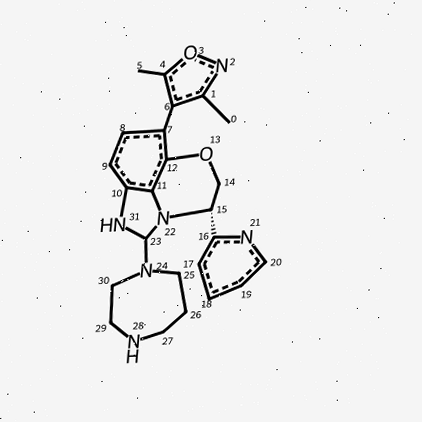 Cc1noc(C)c1-c1ccc2c3c1OC[C@H](c1ccccn1)N3C(N1CCCNCC1)N2